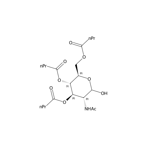 CCCC(=O)OC[C@H]1OC(O)[C@H](NC(C)=O)[C@@H](OC(=O)CCC)[C@@H]1OC(=O)CCC